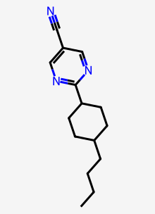 CCCCC1CCC(c2ncc(C#N)cn2)CC1